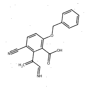 C=C(C=N)c1c(C#N)ccc(OCc2ccccc2)c1C(=O)O